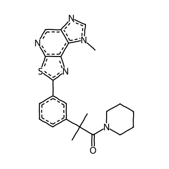 Cn1cnc2cnc3sc(-c4cccc(C(C)(C)C(=O)N5CCCCC5)c4)nc3c21